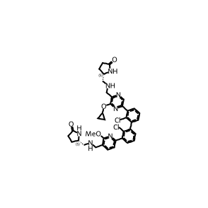 COc1nc(-c2cccc(-c3cccc(-c4cnc(CNC[C@@H]5CCC(=O)N5)c(OC5CC5)n4)c3Cl)c2Cl)ccc1CNC[C@@H]1CCC(=O)N1